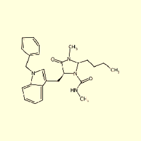 CCCCC1N(C)C(=O)[C@H](Cc2cn(Cc3ccccc3)c3ccccc23)N1C(=O)NC